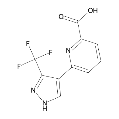 O=C(O)c1cccc(-c2c[nH]nc2C(F)(F)F)n1